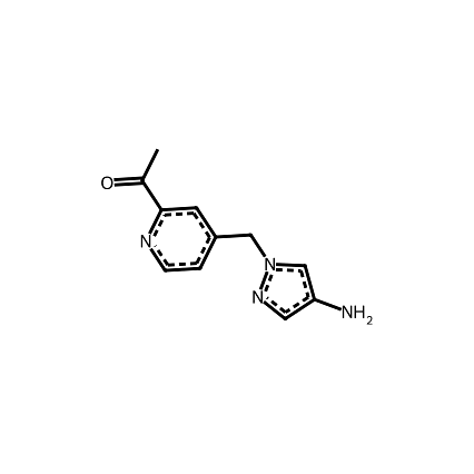 CC(=O)c1cc(Cn2cc(N)cn2)ccn1